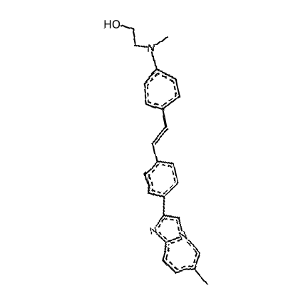 Cc1ccc2nc(-c3ccc(C=Cc4ccc(N(C)CCO)cc4)cc3)cn2c1